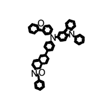 C1=CC2C(=CC=C3N=C(c4ccccc4)OC32)C=C1c1ccc(N(c2ccc3oc4ccccc4c3c2)c2ccc3c(c2)c2ccccc2n3-c2ccccc2)cc1